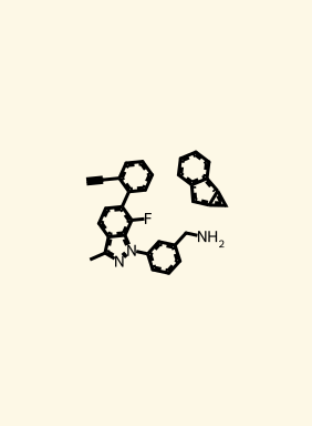 C#Cc1ccccc1-c1ccc2c(C)nn(-c3cccc(CN)c3)c2c1F.c1ccc2c3cc-3cc2c1